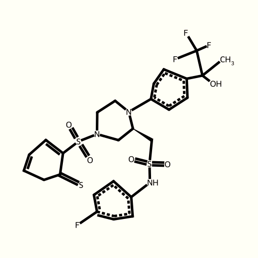 CC(O)(c1ccc(N2CCN(S(=O)(=O)C3=CC=CCC3=S)C[C@@H]2CS(=O)(=O)Nc2ccc(F)cc2)cc1)C(F)(F)F